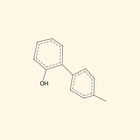 Cc1ccc(-c2ccccc2O)cc1